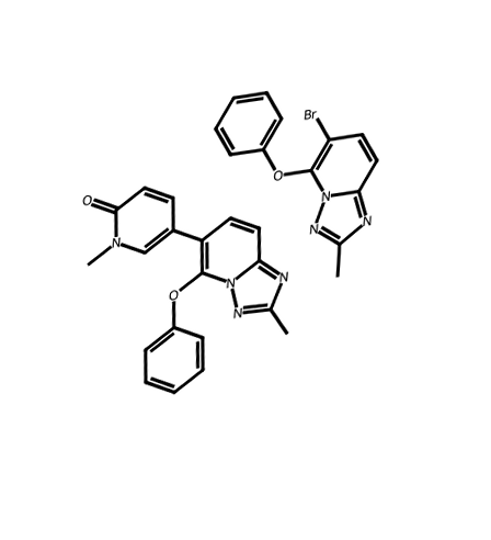 Cc1nc2ccc(-c3ccc(=O)n(C)c3)c(Oc3ccccc3)n2n1.Cc1nc2ccc(Br)c(Oc3ccccc3)n2n1